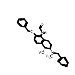 CN(Cc1ccccc1)[C@H]1CCc2c(ccc(OCc3ccccc3)c2NC=O)[C@H]1O